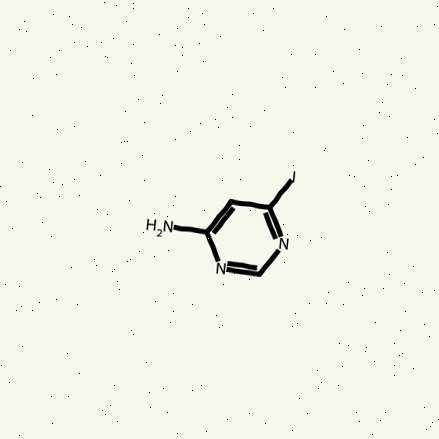 Nc1cc(I)ncn1